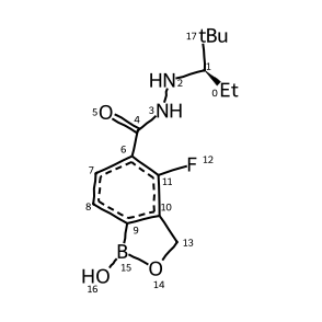 CC[C@@H](NNC(=O)c1ccc2c(c1F)COB2O)C(C)(C)C